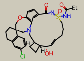 CCC(=O)NS1(=O)=NC(=O)c2ccc3c(c2)N(C[C@@H]2CC[C@H]2[C@@H](O)/C=C/CCC1)C[C@@]1(CCCc2cc(Cl)ccc21)CO3